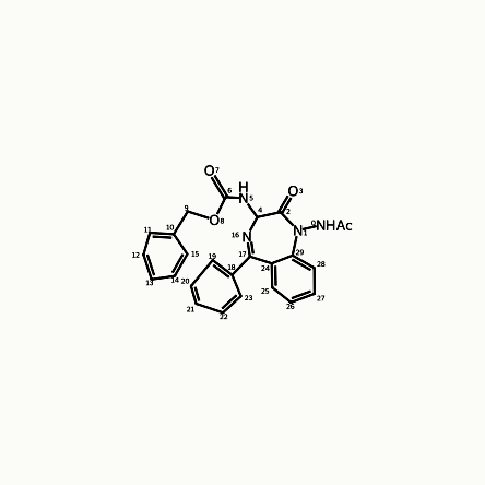 CC(=O)NN1C(=O)C(NC(=O)OCc2ccccc2)N=C(c2ccccc2)c2ccccc21